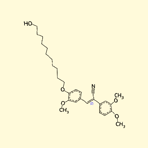 COc1ccc(/C(C#N)=C/c2ccc(OCCCCCCCCCCCO)c(OC)c2)cc1OC